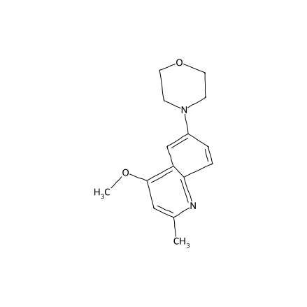 COc1cc(C)nc2ccc(N3CCOCC3)cc12